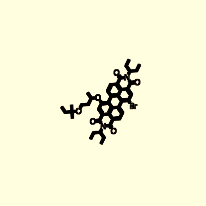 CCC(CC)N1C(=O)c2ccc3c4c(OC(C)CCOC(C)(C)CC)cc5c6c(ccc(c7c(Br)cc(c2c37)C1=O)c64)C(=O)N(C(CC)CC)C5=O